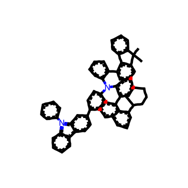 CC1(C)c2ccccc2-c2c(-c3ccccc3N(c3ccc(-c4ccc5c6ccccc6n(-c6ccccc6)c5c4)cc3)c3ccccc3-c3cccc4cccc(C5CCCCC5)c34)cccc21